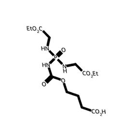 CCOC(=O)CNP(=O)(NCC(=O)OCC)NC(=O)OCCCC(=O)O